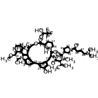 CCn1c(-c2cccnc2COC)c2c3cc(ccc31)-c1cc(O)cc(c1)C[C@H](NC(=O)[C@H](C(C)C)N(C)C(=O)[C@H]1CCN(C(=O)/C=C/CN(C)C)C1)C(=O)N1CCC[C@H](N1)C(=O)OCC(C)(C)C2.O=C(O)C(F)(F)F